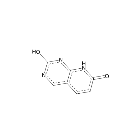 O=c1ccc2cnc(O)nc2[nH]1